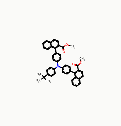 COC(=O)c1ccc2ccccc2c1-c1ccc(N(c2ccc(-c3c(C(=O)OC)ccc4ccccc34)cc2)c2ccc(C(C)(C)C)cc2)cc1